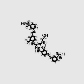 COc1cc(N=Nc2cccc(S(=O)(=O)O)c2)ccc1Nc1nc(NCCO)nc(Nc2ccc(N=Nc3cccc(S(=O)(=O)O)c3)cc2C=O)n1